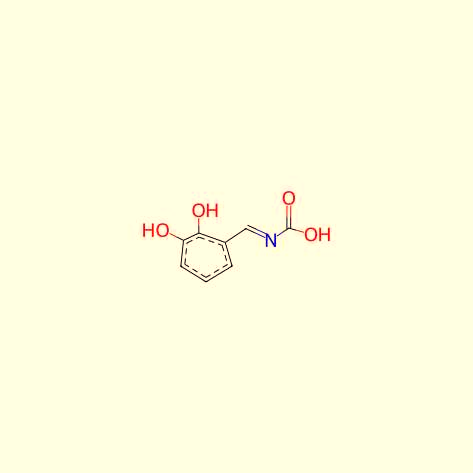 O=C(O)/N=C/c1cccc(O)c1O